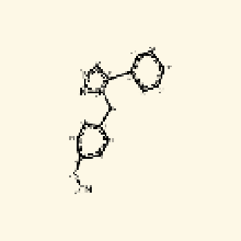 N#CSc1ccc(Cn2nncc2-c2ccccc2)cc1